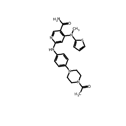 CC(=O)N1CCN(c2ccc(Nc3cc(N(C)c4cccs4)c(C(N)=O)cn3)cc2)CC1